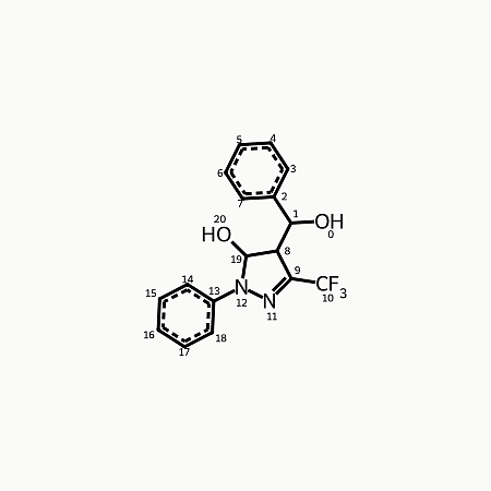 OC(c1ccccc1)C1C(C(F)(F)F)=NN(c2ccccc2)C1O